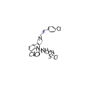 O=C(NCc1cnc(Cl)s1)n1c2c(c3cccc(Cl)c31)CN(C/C=C/c1ccc(Cl)cc1)CC2